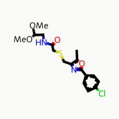 COC(CNC(=O)CSCc1nc(-c2ccc(Cl)cc2)oc1C)OC